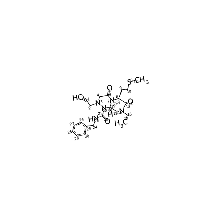 C#CCN1CC(=O)N2[C@@H](CCSC)C(=O)N(CC)C[C@@H]2N1C(=O)NCc1ccccc1